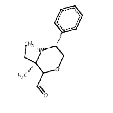 CC[C@@]1(C)N[C@H](c2ccccc2)COC1C=O